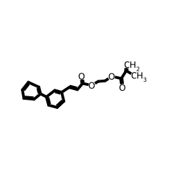 C=C(C)C(=O)OCCOC(=O)C=Cc1cccc(-c2ccccc2)c1